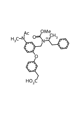 COC(=O)N(Cc1cc(N(C)C(C)=O)ccc1Oc1cccc(CC(=O)O)c1)[C@@H](C)Cc1ccccc1